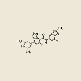 Cc1cn2cc(NC(=O)c3c(F)cc(N4C[C@H](C)N[C@@H](C)C4)c4csnc34)cc(F)c2n1